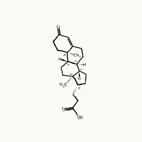 C[C@]12CC[C@H]3[C@@H](CCC4=CC(=O)CC[C@@]43C)[C@@H]1CC[C@@H]2CCC(=O)O